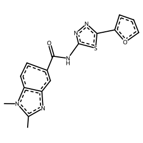 Cc1nc2cc(C(=O)Nc3nnc(-c4ccco4)s3)ccc2n1C